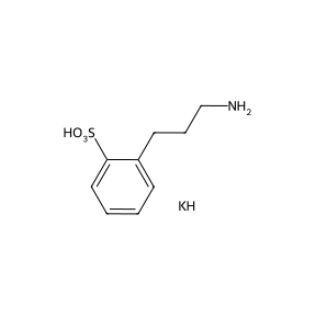 NCCCc1ccccc1S(=O)(=O)O.[KH]